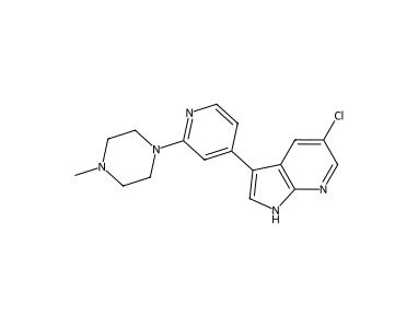 CN1CCN(c2cc(-c3c[nH]c4ncc(Cl)cc34)ccn2)CC1